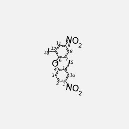 O=[N+]([O-])c1ccc(Oc2ccc([N+](=O)[O-])cc2I)c(I)c1